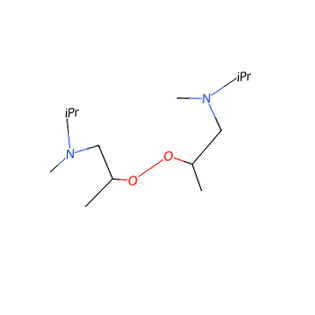 CC(CN(C)C(C)C)OOC(C)CN(C)C(C)C